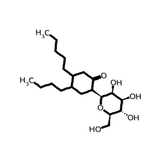 CCCCCC1CC(=O)C([C@@H]2O[C@H](CO)[C@@H](O)[C@H](O)[C@@H]2O)CC1CCCC